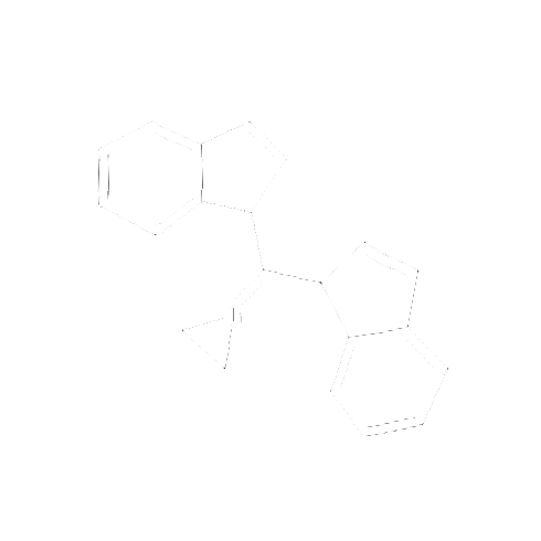 C1=CC([C](C2C=Cc3ccccc32)=[Ti]2[CH2][CH2]2)c2ccccc21